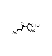 CC(=O)CCC(=O)N(CC=O)CC(C)=O